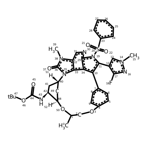 CC1COc2ccc(cc2)-c2c(-c3cn(C)nc3F)n(S(=O)(=O)c3ccccc3)c3ncc4c(c23)n(c(=O)n4C)[C@H]2C[C@H](NC(=O)OC(C)(C)C)[C@@H](C2)O1